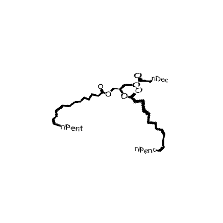 CCCCC/C=C\C/C=C\CCCCCCCC(=O)OC[C@@H](COC(=O)CCCCCCCCCCC)OC(=O)CCCCCCC/C=C\C/C=C\CCCCC